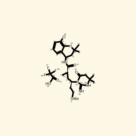 COCC[C@@H]([C@@H]1C[C@H]1C(=O)NC1CC(C)(C)Oc2c(Cl)cccc21)N1C(=N)NC(C)(C)CC1=O.O=C(O)C(F)(F)F